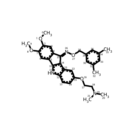 COc1cc2c(cc1OC)-c1[nH]c3ccc(OCCN(C)C)cc3c1/C2=N\OCc1cc(C)cc(C)c1